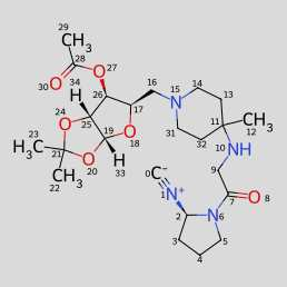 [C-]#[N+][C@@H]1CCCN1C(=O)CNC1(C)CCN(C[C@H]2O[C@@H]3OC(C)(C)O[C@@H]3[C@H]2OC(C)=O)CC1